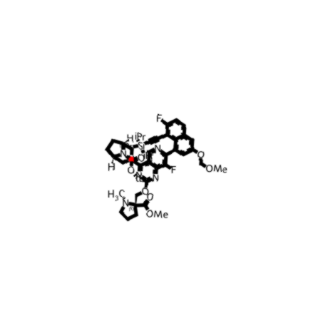 COCOc1cc(-c2ncc3c(N4C[C@H]5CC[C@@H](C4)N5C(=O)OC(C)(C)C)nc(OC[C@@]4(C(=O)OC)CCCN4C)nc3c2F)c2c(C#C[Si](C(C)C)(C(C)C)C(C)C)c(F)ccc2c1